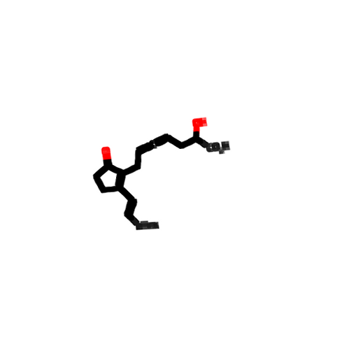 CCCCCC/C=C/C1=C(CC=C=CCC(O)C(=O)O)C(=O)CC1